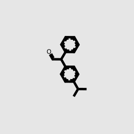 CC(C)c1ccc(C(C=O)c2ccccc2)cc1